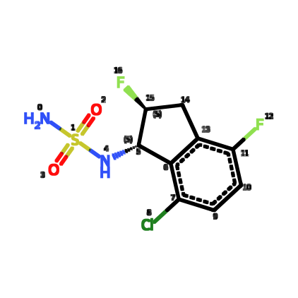 NS(=O)(=O)N[C@H]1c2c(Cl)ccc(F)c2C[C@@H]1F